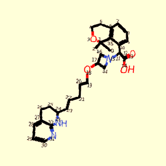 CC1(C)OCCc2cccc(C(C(=O)O)N3CC(OCCCCCC4CCc5cccnc5N4)C3)c21